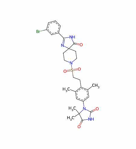 Cc1cc(N2C(=O)NC(=O)C2(C)C)cc(C)c1CCS(=O)(=O)N1CCC2(CC1)N=C(c1cccc(Br)c1)NC2=O